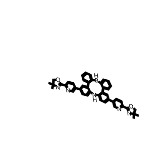 CC1(C)COC(c2ccc(-c3ccc4c(c3)-c3ccccc3Bc3ccccc3-c3cc(-c5ccc(C6=NC(C)(C)CO6)nc5)ccc3N4)cn2)=N1